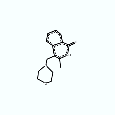 Cc1[nH]c(=O)c2ccccc2c1CN1CCOCC1